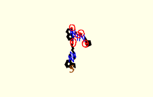 O=C(NCc1ccco1)OCN1C(=O)CCc2ccc(OCCCCN3CCN(c4cccc5sccc45)CC3)cc21